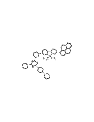 CC1(C)c2cc(-c3cccc(-c4nc(-c5ccccc5)nc(-c5ccc(-c6ccccc6)cc5)n4)c3)ccc2-c2ccc(-c3ccc4ccc5cccc6ccc3c4c56)cc21